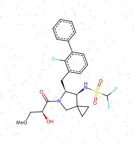 COC[C@H](O)C(=O)N1CC2(CC2)[C@H](NS(=O)(=O)C(F)F)[C@@H]1Cc1cccc(-c2ccccc2)c1F